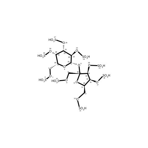 O=S(=O)(O)OC[C@H]1O[C@@H](O[C@@]2(COS(=O)(=O)O)O[C@H](COS(=O)(=O)O)[C@H](OS(=O)(=O)O)[C@@H]2OS(=O)(=O)O)[C@H](OS(=O)(=O)O)[C@@H](OS(=O)(=O)O)[C@H]1OS(=O)(=O)O